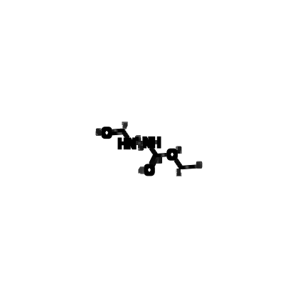 CCOC(=O)NNC=O